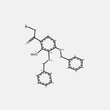 COc1c(C(=O)CBr)ccc(OCc2ccccc2)c1OCc1ccccc1